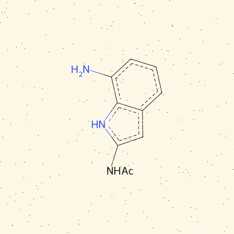 CC(=O)Nc1cc2cccc(N)c2[nH]1